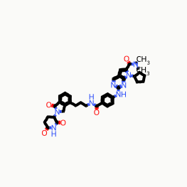 CN(C)C(=O)c1cc2cnc(Nc3ccc(C(=O)NCCCc4cccc5c4CN(C4CCC(=O)NC4=O)C5=O)cc3)nc2n1C1CCCC1